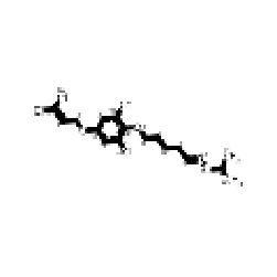 FC(F)(F)C(ON=CCCCCOc1c(Cl)cc(OCC=C(Cl)Cl)cc1Cl)C(F)(F)F